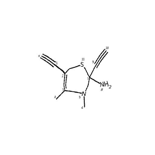 C#CC1=C(C)N(C)C(N)(C#C)S1